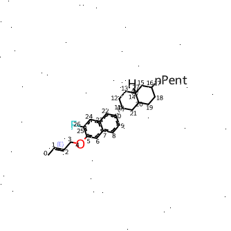 C/C=C/COc1cc2ccc([C@@H]3CC[C@@H]4CC(CCCCC)CCC4C3)cc2cc1F